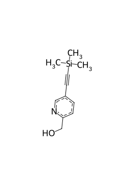 C[Si](C)(C)C#Cc1ccc(CO)nc1